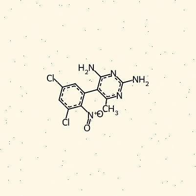 Cc1nc(N)nc(N)c1-c1cc(Cl)cc(Cl)c1[N+](=O)[O-]